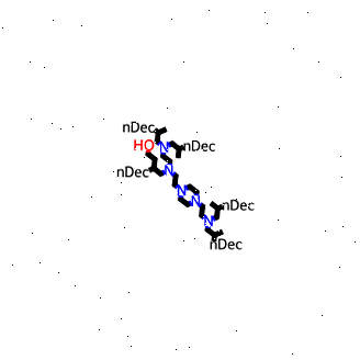 CCCCCCCCCCC(C)CN(CCN1CCN(CCN(CCN(CC(C)CCCCCCCCCC)CC(C)CCCCCCCCCC)CC(CCO)CCCCCCCCCC)CC1)CC(C)CCCCCCCCCC